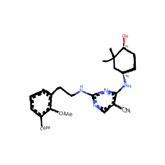 COc1cccc(CCNc2ncc(C#N)c(N[C@@H]3CC[C@H](O)C(C)(C)C3)n2)c1OC